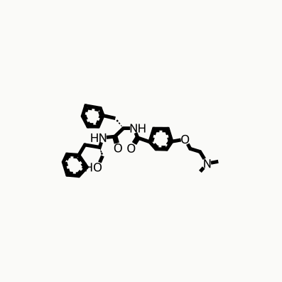 CN(C)CCOc1ccc(C(=O)N[C@@H](Cc2ccccc2)C(=O)N[C@H](CO)Cc2ccccc2)cc1